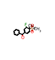 CC1(S(C)(=O)=O)C=CC(C(=O)c2ccccc2)=CC1F